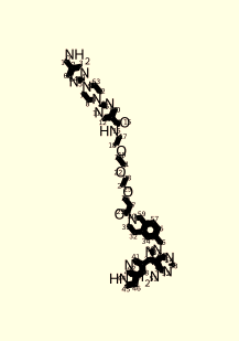 NCc1cnc(N2CCN(c3ncc(C(=O)NCCOCCOCCOCCC(=O)N4CCc5cc(Cn6nc(-c7cnc8[nH]ccc8c7)c7c(N)ncnc76)ccc5C4)cn3)CC2)nc1